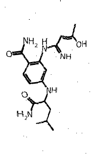 C/C(O)=C/C(=N)Nc1cc(NC(CC(C)C)C(N)=O)ccc1C(N)=O